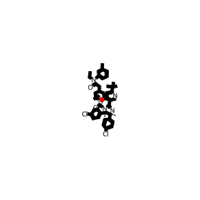 CCOc1cc(C(C)(C)C)ncc1C1=N[C@@](C)(c2ccc(Cl)cc2)[C@@](C)(c2ccc(Cl)cc2)N1C(=O)N1CCC(CC(=O)N(CC)c2cccc(C)c2)CC1